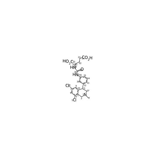 CN1Cc2c(Cl)cc(Cl)cc2C(c2cccc(NC(=O)N[C@@H](CCC(=O)O)C(=O)O)c2)C1